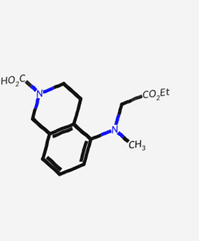 CCOC(=O)CN(C)c1cccc2c1CCN(C(=O)O)C2